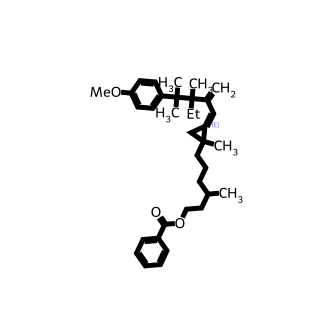 C=C(/C=C1\CC1(C)CCCC(C)CCOC(=O)c1ccccc1)C(C)(CC)C(C)(C)c1ccc(OC)cc1